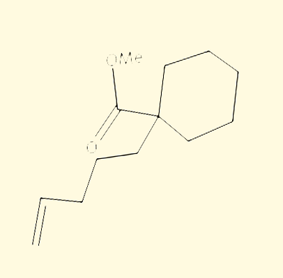 C=CCCCC1(C(=O)OC)CCCCC1